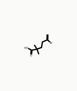 C=C(Br)CCC(C)(C)C(=O)O